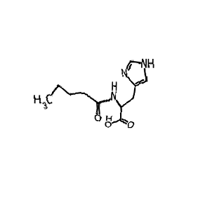 CCCCC(=O)NC(Cc1c[nH]cn1)C(=O)O